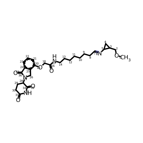 COCC1CC1/N=C/CCCCCCCNC(=O)COc1cccc2c1CN(C1CCC(=O)NC1=O)C2=O